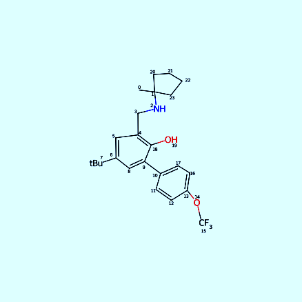 CC1(NCc2cc(C(C)(C)C)cc(-c3ccc(OC(F)(F)F)cc3)c2O)CCCC1